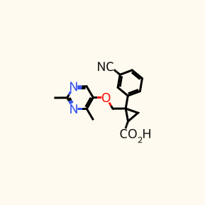 Cc1ncc(OCC2(c3cccc(C#N)c3)CC2C(=O)O)c(C)n1